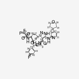 C[C@H](Oc1cc(-c2n[nH]c(Nc3cc(C4CCOCC4)ccn3)c2C(N)=O)ccc1NS(=O)(=O)C(F)F)c1ccc(F)cc1